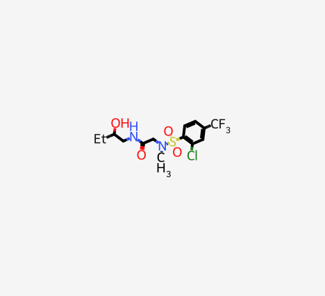 CCC(O)CNC(=O)CN(C)S(=O)(=O)c1ccc(C(F)(F)F)cc1Cl